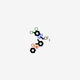 O=S(=O)(Cc1ccccc1Cn1c(CC(F)(F)F)nc2cc(Cl)c(Cl)cc21)c1ccccc1